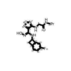 CC(C)NC(=O)CNc1nonc1/C(=N\O)NC1Cc2ccc(F)cc21